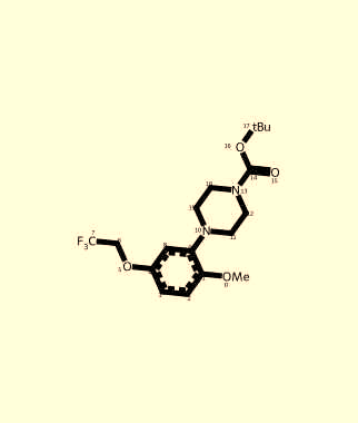 COc1ccc(OCC(F)(F)F)cc1N1CCN(C(=O)OC(C)(C)C)CC1